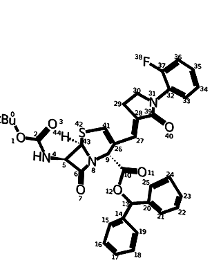 CC(C)(C)OC(=O)N[C@@H]1C(=O)N2[C@@H](C(=O)OC(c3ccccc3)c3ccccc3)C(/C=C3\CCN(c4ccccc4F)C3=O)=CS[C@H]12